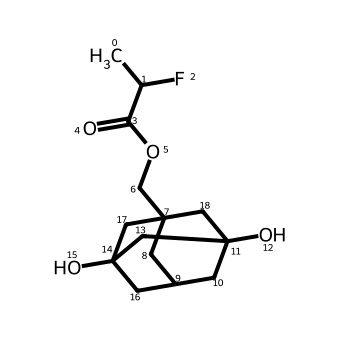 CC(F)C(=O)OCC12CC3CC(O)(CC(O)(C3)C1)C2